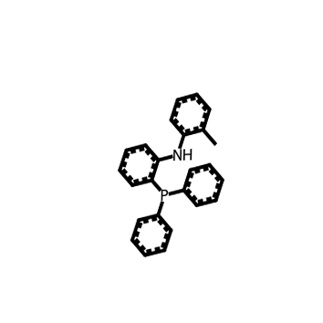 Cc1ccccc1Nc1ccccc1P(c1ccccc1)c1ccccc1